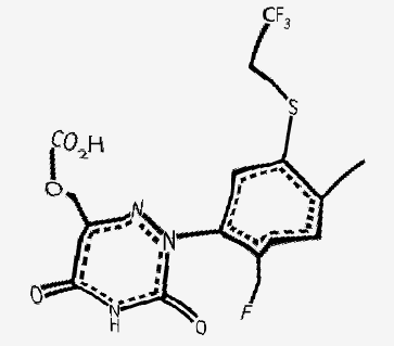 Cc1cc(F)c(-n2nc(OC(=O)O)c(=O)[nH]c2=O)cc1SCC(F)(F)F